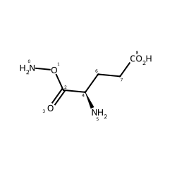 NOC(=O)[C@H](N)CCC(=O)O